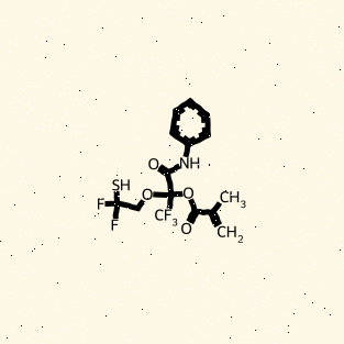 C=C(C)C(=O)OC(OCC(F)(F)S)(C(=O)Nc1ccccc1)C(F)(F)F